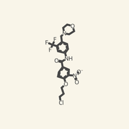 O=C(Nc1ccc(CN2CCOCC2)c(C(F)(F)F)c1)c1ccc(OCCCCl)c([N+](=O)[O-])c1